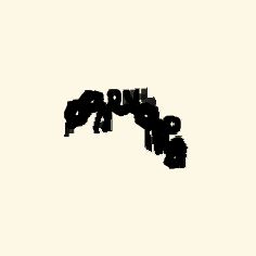 NC(CC(=O)NC1CCc2ccc(F)cc21)c1ccc(C(=O)Nc2ccncc2)cc1